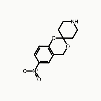 O=[N+]([O-])c1ccc2c(c1)COC1(CCNCC1)O2